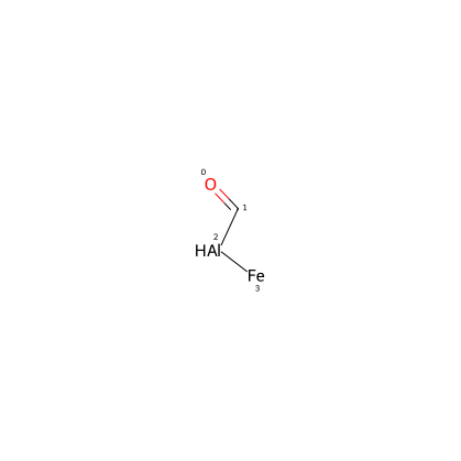 O=[CH][AlH][Fe]